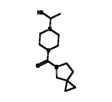 CC(S)N1CCN(C(=O)N2CCC3(CC3)C2)CC1